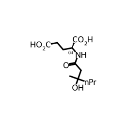 CCCC(C)(O)CC(=O)N[C@@H](CCC(=O)O)C(=O)O